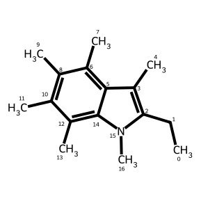 CCc1c(C)c2c(C)c(C)c(C)c(C)c2n1C